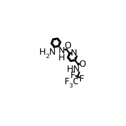 Nc1ccccc1NC(=O)c1ccc(C(=O)NCC(F)(F)C(F)(F)F)cn1